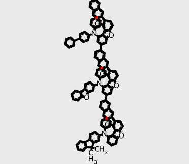 CC1(C)c2ccccc2-c2ccc(N(c3ccccc3)c3cccc4oc5ccc6c7cc8cc(-c9cc(N(c%10ccccc%10)c%10ccc%11c(c%10)oc%10ccccc%10%11)c%10c(c9)oc9ccc%11c%12cc%13cc(-c%14cc(N(c%15ccccc%15)c%15ccc(-c%16ccccc%16)cc%15)c%15c(c%14)oc%14ccc%16c%17cc%18ccccc%18cc%17oc%16c%14%15)ccc%13cc%12oc%11c9%10)ccc8cc7oc6c5c34)cc21